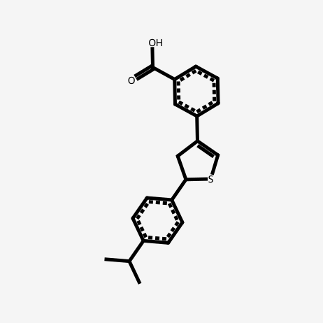 CC(C)c1ccc(C2CC(c3cccc(C(=O)O)c3)=CS2)cc1